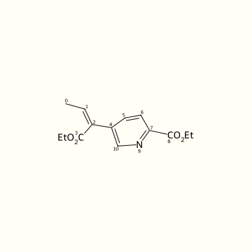 C/C=C(\C(=O)OCC)c1ccc(C(=O)OCC)nc1